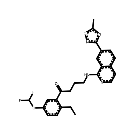 CCc1ccc(OC(F)F)cc1C(=O)CCCNc1nccc2ccc(-c3noc(C)n3)cc12